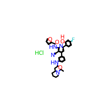 CCN1CCCCC1CC(=O)Nc1cccc(-c2cc(-c3ccc(F)cc3O)nc(NC(=O)c3ccco3)c2C#N)c1.Cl